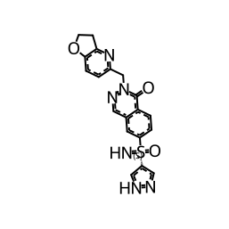 N=[S@@](=O)(c1cn[nH]c1)c1ccc2c(=O)n(Cc3ccc4c(n3)CCO4)ncc2c1